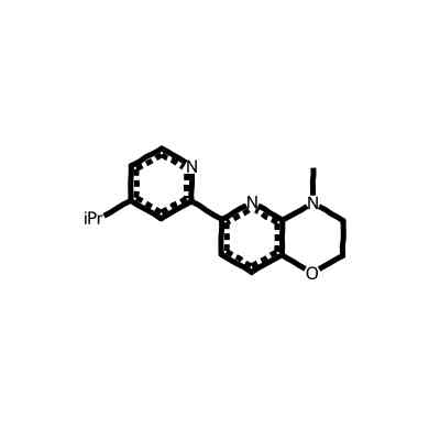 CC(C)c1ccnc(-c2ccc3c(n2)N(C)CCO3)c1